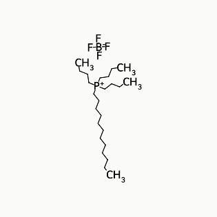 CCCCCCCCCCCC[P+](CCCC)(CCCC)CCCC.F[B-](F)(F)F